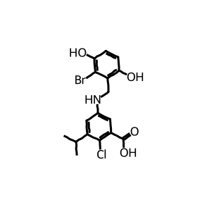 CC(C)c1cc(NCc2c(O)ccc(O)c2Br)cc(C(=O)O)c1Cl